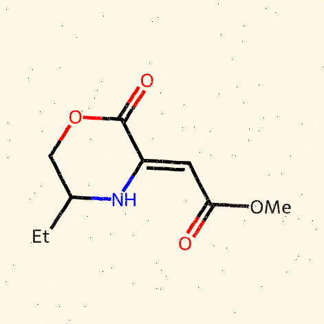 CCC1COC(=O)C(=CC(=O)OC)N1